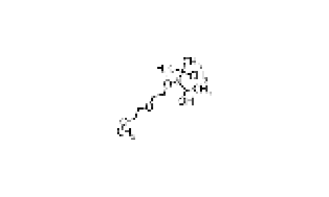 COCCOCCON(C(C)O)C(C)(C)C